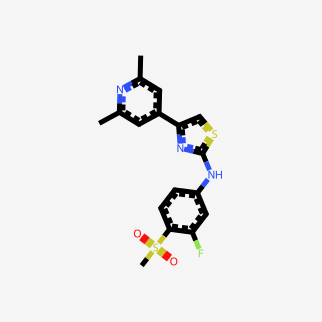 Cc1cc(-c2csc(Nc3ccc(S(C)(=O)=O)c(F)c3)n2)cc(C)n1